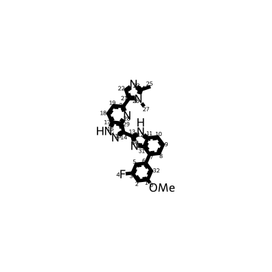 COc1cc(F)cc(-c2cccc3[nH]c(-c4n[nH]c5ccc(-c6cnc(C)n6C)nc45)nc23)c1